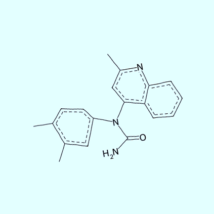 Cc1cc(N(C(N)=O)c2ccc(C)c(C)c2)c2ccccc2n1